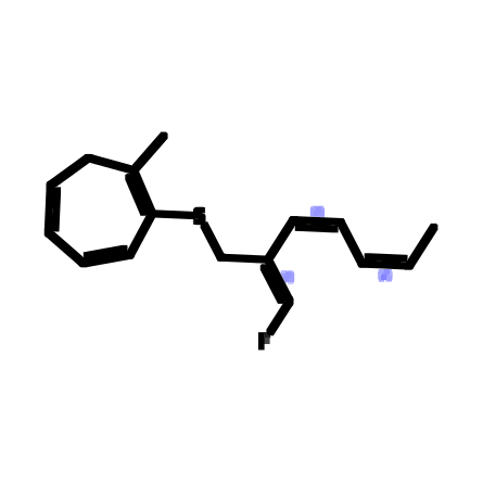 C\C=C/C=C\C(=C\F)CSC1=C(C)CC=CC=C1